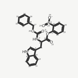 O=C(NC(Cc1c[nH]c2ccccc12)C(=O)Oc1ccccc1[N+](=O)[O-])OCc1ccccc1